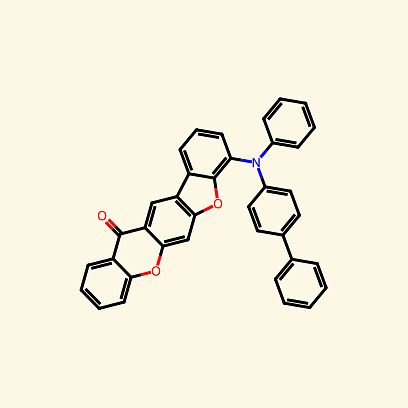 O=c1c2ccccc2oc2cc3oc4c(N(c5ccccc5)c5ccc(-c6ccccc6)cc5)cccc4c3cc12